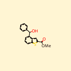 COC(=O)c1cc2c(C(O)c3ccccc3)cccc2s1